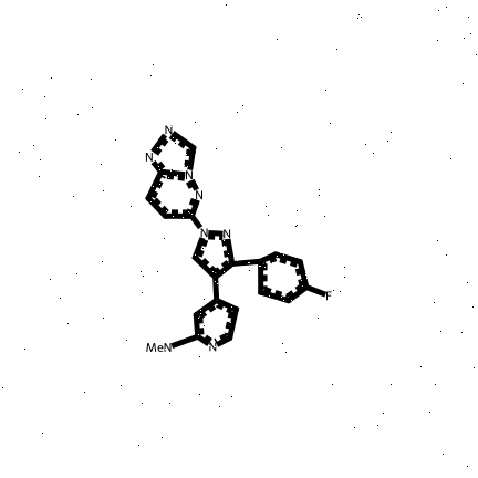 CNc1cc(-c2cn(-c3ccc4nncn4n3)nc2-c2ccc(F)cc2)ccn1